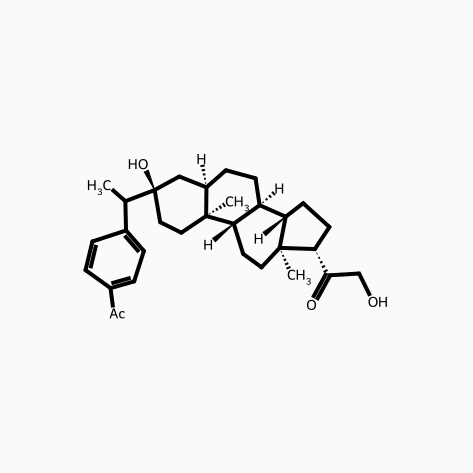 CC(=O)c1ccc(C(C)[C@@]2(O)CC[C@@]3(C)[C@H](CC[C@@H]4[C@@H]3CC[C@]3(C)[C@@H](C(=O)CO)CC[C@@H]43)C2)cc1